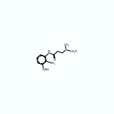 COc1cccc(NC(=O)CCN(C)C(=O)O)c1N